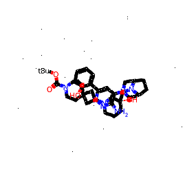 CC(C)(C)OC(=O)N1CCC2(CC1)CC(N1CCC[C@](O)(CN3C4CCC3CN(c3cc(-c5ccccc5O)nnc3N)C4)C1)C2